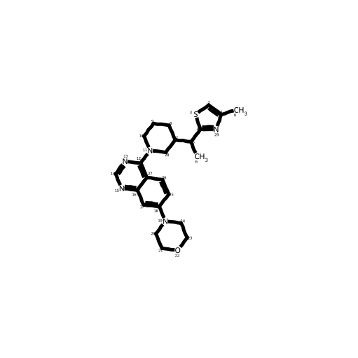 Cc1csc(C(C)C2CCCN(c3ncnc4cc(N5CCOCC5)ccc34)C2)n1